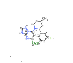 CC1CCN(c2c(-c3ccc(F)cc3Cl)c(Cl)nc3ncnn23)CC1